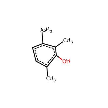 Cc1ccc([AsH2])c(C)c1O